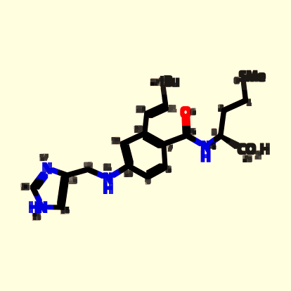 CSCC[C@H](NC(=O)c1ccc(NCc2c[nH]cn2)cc1C=CC(C)(C)C)C(=O)O